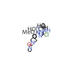 COc1cc2c(cc1Nc1ncc(Cl)c(N[C@H]3[C@@H](C(=O)O)[C@@H]4C=C[C@H]3C4)n1)CCN(CC(=O)N1CCCC1)CC2